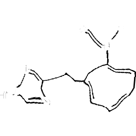 O=[N+]([O-])c1ccccc1Cc1nc[nH]n1